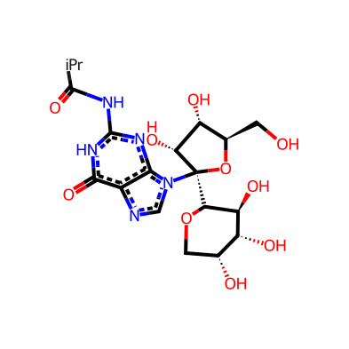 CC(C)C(=O)Nc1nc2c(ncn2[C@]2(C3OC[C@@H](O)[C@@H](O)[C@@H]3O)O[C@H](CO)[C@@H](O)[C@H]2O)c(=O)[nH]1